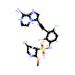 COc1ncc(Cl)cc1S(=O)(=O)Nc1ccc(F)c(C#Cc2cnc3c(N)nccn23)c1F